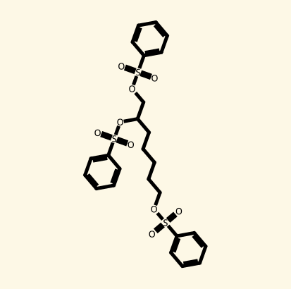 O=S(=O)(OCCCCCC(COS(=O)(=O)c1ccccc1)OS(=O)(=O)c1ccccc1)c1ccccc1